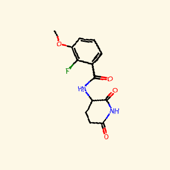 COc1cccc(C(=O)NC2CCC(=O)NC2=O)c1F